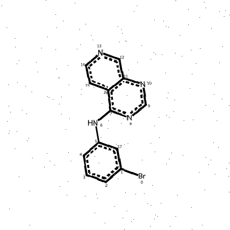 Brc1cccc(Nc2ncnc3cn[c]cc23)c1